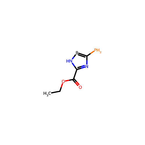 CCOC(=O)c1nc(P)b[nH]1